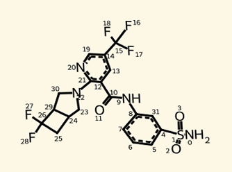 NS(=O)(=O)c1cccc(NC(=O)c2cc(C(F)(F)F)cnc2N2CC3CC(F)(F)C3C2)c1